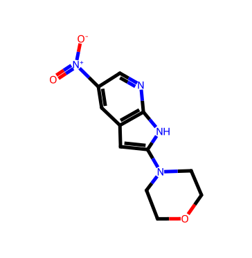 O=[N+]([O-])c1cnc2[nH]c(N3CCOCC3)cc2c1